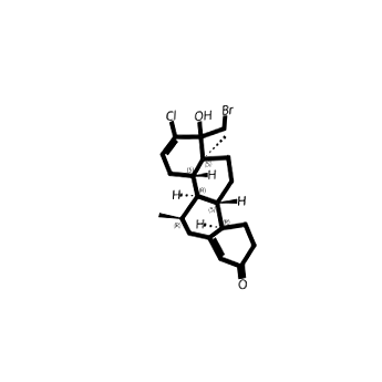 C[C@@H]1CC2=CC(=O)CC[C@@H]2[C@H]2CC[C@@]3(C)[C@@H](CC=C(Cl)C3(O)CBr)[C@@H]21